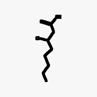 CCCCCC(Cl)CC(=O)O